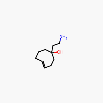 NCC[C@]1(O)CC/C=C/CCC1